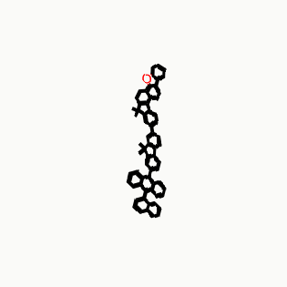 CC1(C)c2cc(-c3ccc4c(c3)C(C)(C)c3ccc5c(ccc6c7ccccc7oc56)c3-4)ccc2-c2ccc(-c3c4ccccc4c(-c4cccc5ccccc45)c4ccccc34)cc21